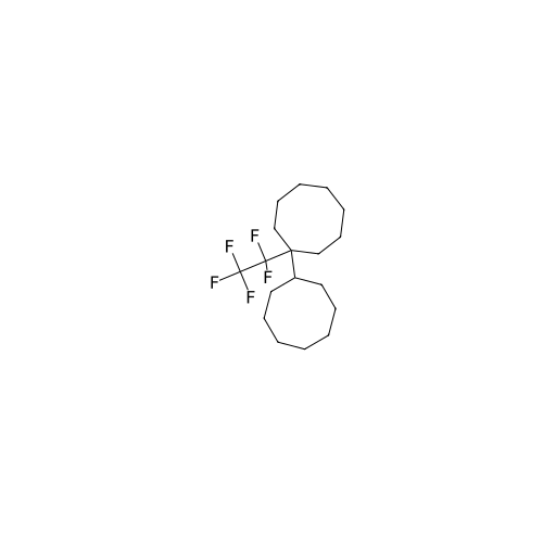 FC(F)(F)C(F)(F)C1(C2CCCCCCC2)CCCCCCC1